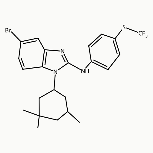 CC1CC(n2c(Nc3ccc(SC(F)(F)F)cc3)nc3cc(Br)ccc32)CC(C)(C)C1